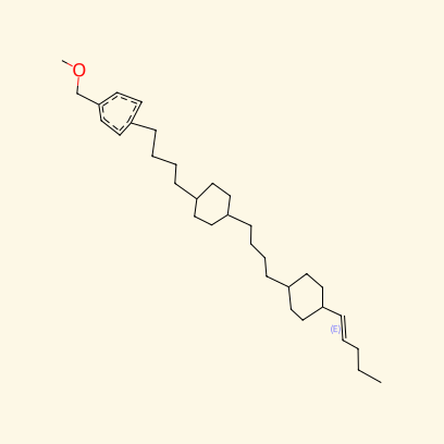 CCC/C=C/C1CCC(CCCCC2CCC(CCCCc3ccc(COC)cc3)CC2)CC1